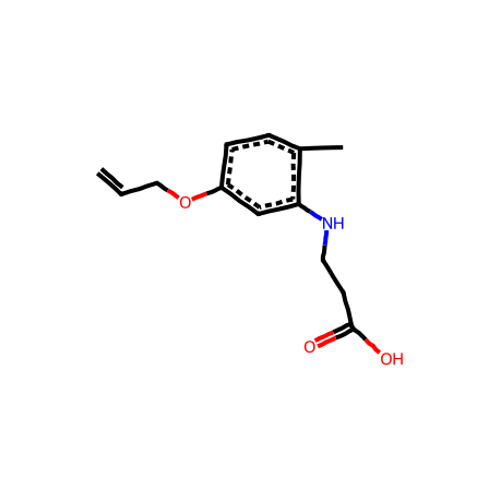 C=CCOc1ccc(C)c(NCCC(=O)O)c1